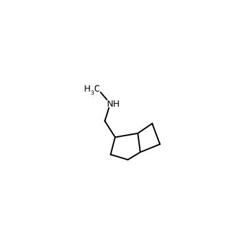 CNCC1CCC2CCC21